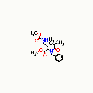 COC(=O)NCC[C@@H](C(=O)OC)N(Cc1ccccc1)C(=O)C(C)C